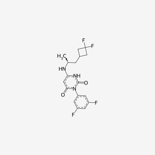 C[C@@H](CC1CC(F)(F)C1)Nc1cc(=O)n(-c2cc(F)cc(F)c2)c(=O)[nH]1